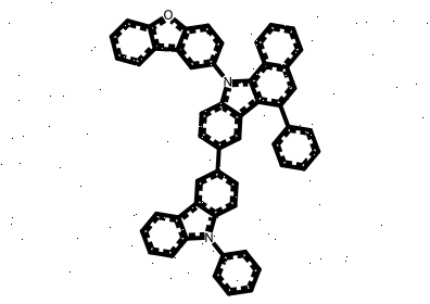 c1ccc(-c2cc3ccccc3c3c2c2cc(-c4ccc5c(c4)c4ccccc4n5-c4ccccc4)ccc2n3-c2ccc3oc4ccccc4c3c2)cc1